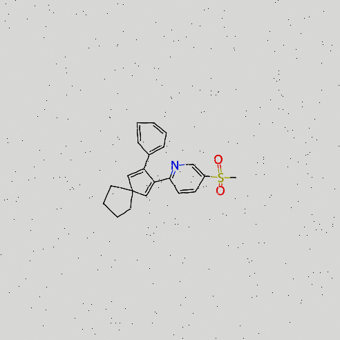 CS(=O)(=O)c1ccc(C2=CC3(C=C2c2ccccc2)CCCC3)nc1